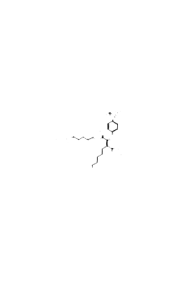 CCCCCCOC(=O)C(Oc1ccc([N+](=O)[O-])cc1)=C(CCCCCC)C(=O)O